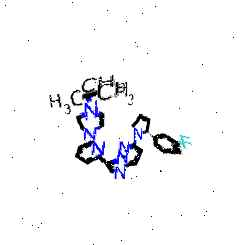 CC(C)(C)N1CCN(c2cccc(-c3cnc4ccc(N5CCC[C@@H]5c5cccc(F)c5)nn34)n2)CC1